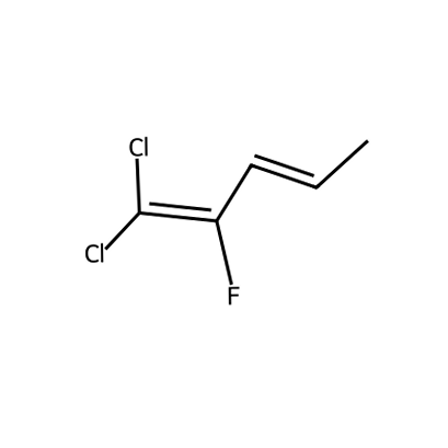 C/C=C/C(F)=C(Cl)Cl